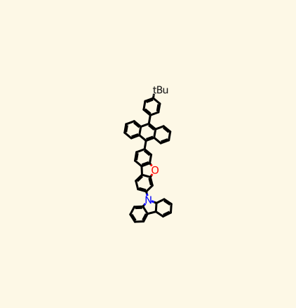 CC(C)(C)c1ccc(-c2c3ccccc3c(-c3ccc4c(c3)oc3cc(N5c6ccccc6C6C=CC=CC65)ccc34)c3ccccc23)cc1